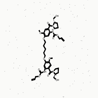 C=CCOC(=O)Nc1cc(OCCCCCOc2cc(NC(=O)OCC=C)c(C(=O)N3CCC[C@H]3CO)cc2OC)c(OC)cc1C(=O)N1CCC[C@H]1CO